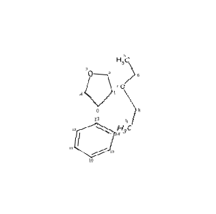 C1CCOC1.CCOCC.c1ccccc1